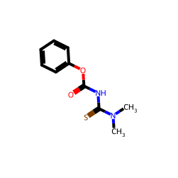 CN(C)C(=S)NC(=O)Oc1ccccc1